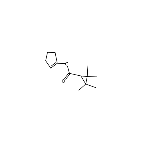 CC1(C)C(C(=O)OC2=CCCC2)C1(C)C